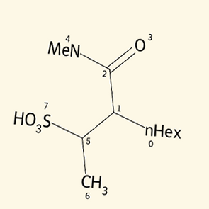 CCCCCCC(C(=O)NC)C(C)S(=O)(=O)O